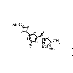 CCN(CC)[C@@H](C)CNC(=O)c1cc(Cl)nc(N2CC(OC)C2)c1